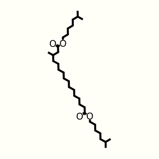 CC(C)CCCCCOC(=O)CCCCCCCCCCCCC(C)CC(=O)OCCCCCC(C)C